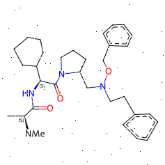 CN[C@@H](C)C(=O)N[C@H](C(=O)N1CCCC1CN(CCc1ccccc1)OCc1ccccc1)C1CCCCC1